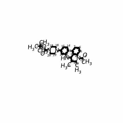 CC(=O)N1c2ccccc2[C@H](Nc2cccc(N3CCN(C(=O)OC(C)(C)C)CC3)c2)[C@@H](C)[C@@H]1C